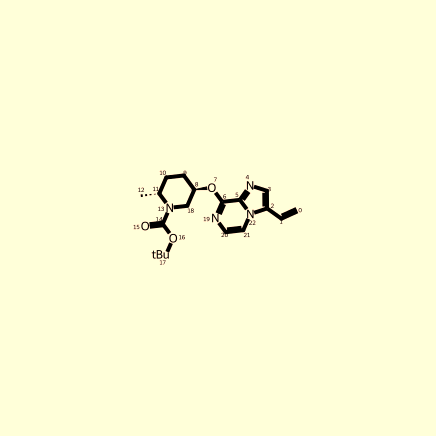 C=Cc1cnc2c(O[C@@H]3CC[C@@H](C)N(C(=O)OC(C)(C)C)C3)nccn12